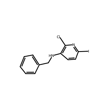 Clc1nc(I)ccc1NCc1ccccc1